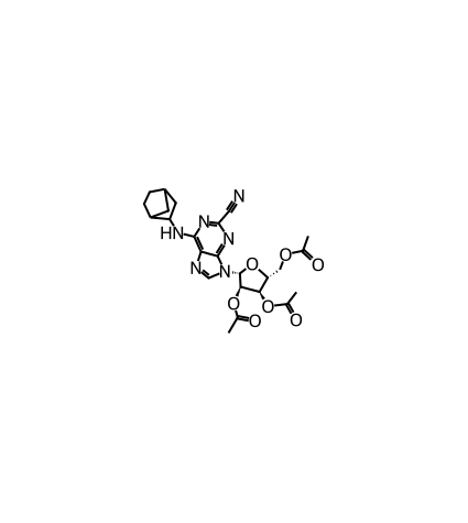 CC(=O)OC[C@H]1O[C@@H](n2cnc3c(NC4CC5CCC4C5)nc(C#N)nc32)[C@H](OC(C)=O)[C@@H]1OC(C)=O